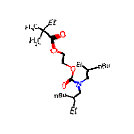 CCCCC(CC)CN(CC(CC)CCCC)C(=O)OCCOC(=O)C(C)(C)CC